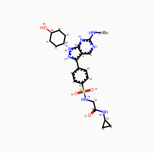 CCCCNc1ncc2c(-c3ccc(S(=O)(=O)NCC(=O)NC4CC4)cc3)nn([C@H]3CC[C@H](O)CC3)c2n1